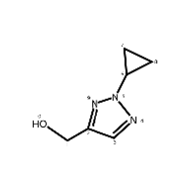 OCc1cnn(C2CC2)n1